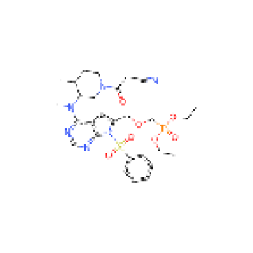 CCOP(=O)(COCc1cc2c(N(C)C3CN(C(=O)CC#N)CCC3C)ncnc2n1S(=O)(=O)c1ccccc1)OCC